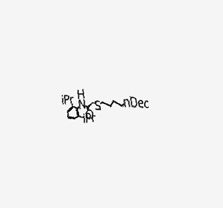 CCCCCCCCCCCCCCSCC(=O)Nc1c(C(C)C)cccc1C(C)C